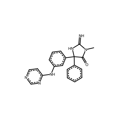 CN1C(=N)NC(c2ccccc2)(c2cccc(Nc3ccncn3)c2)C1=O